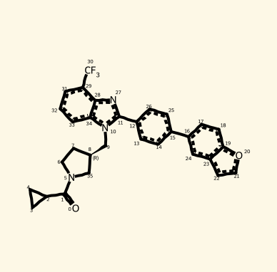 O=C(C1CC1)N1CC[C@@H](Cn2c(-c3ccc(-c4ccc5occc5c4)cc3)nc3c(C(F)(F)F)cccc32)C1